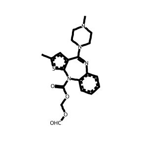 Cc1cc2c(s1)N(C(=O)OCOC=O)c1ccccc1N=C2N1CCN(C)CC1